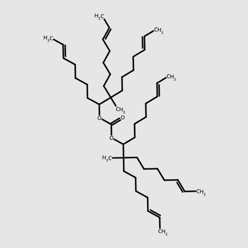 CC=CCCCCC(OC(=O)OC(CCCCC=CC)C(C)(CCCCC=CC)CCCCC=CC)C(C)(CCCCC=CC)CCCCC=CC